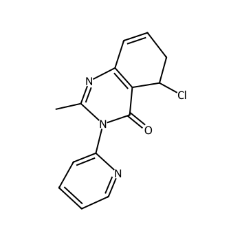 Cc1nc2c(c(=O)n1-c1ccccn1)C(Cl)CC=C2